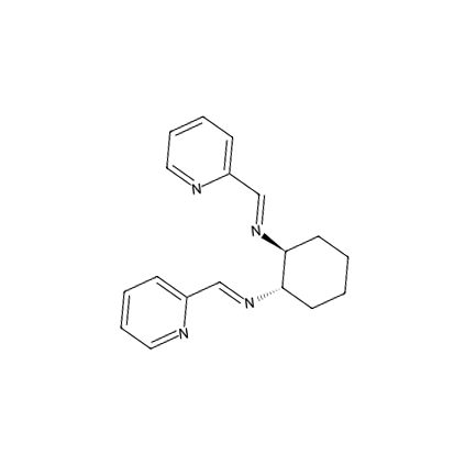 C(=N\[C@H]1CCCC[C@@H]1/N=C/c1ccccn1)/c1ccccn1